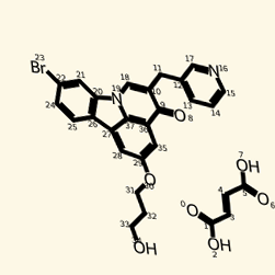 O=C(O)C=CC(=O)O.O=c1c(Cc2cccnc2)cn2c3cc(Br)ccc3c3cc(OCCCO)cc1c32